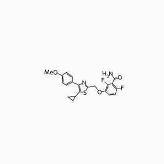 COc1ccc(-c2nc(COc3ccc(F)c(C(N)=O)c3F)sc2C2CC2)cc1